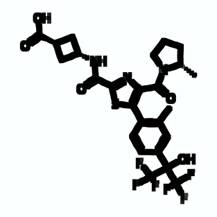 Cc1cc(C(O)(C(F)(F)F)C(F)(F)F)ccc1-c1sc(C(=O)N[C@H]2C[C@H](C(=O)O)C2)nc1C(=O)N1CCC[C@@H]1C